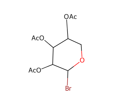 CC(=O)OC1COC(Br)C(OC(C)=O)C1OC(C)=O